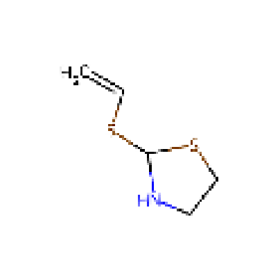 C=CSC1NCCS1